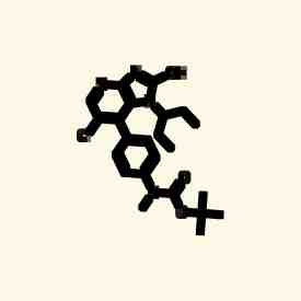 CCC(CC)n1c(O)nc2ncc(Cl)c(-c3ccc(N(C)C(=O)OC(C)(C)C)cc3)c21